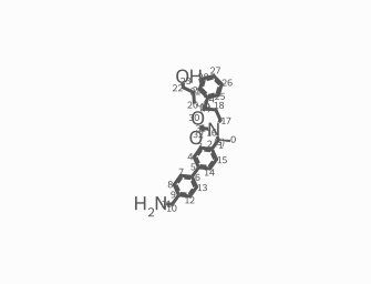 C[C@@H](c1ccc(-c2ccc(CN)cc2)cc1)N1CC[C@](CCCO)(c2ccccc2)OC1=O